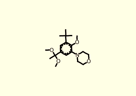 COc1c(N2CCOCC2)cc(C(C)(OC)OC)cc1C(C)(C)C